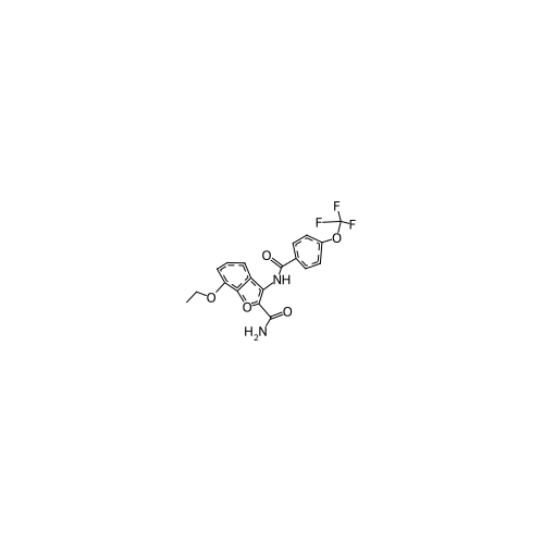 CCOc1cccc2c(NC(=O)c3ccc(OC(F)(F)F)cc3)c(C(N)=O)oc12